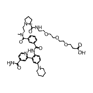 CNC(=O)c1ccnc(-c2cc(N3CCCCC3)ccc2NC(=O)c2cccc(C(=O)N(C)CCN3CCC[C@H]3C(=O)NCCOCCOCCOCCC(=O)O)c2)c1